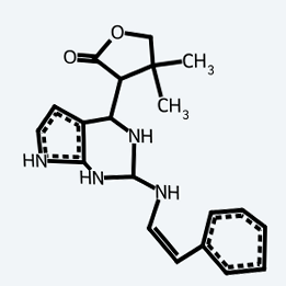 CC1(C)COC(=O)C1C1NC(N/C=C\c2ccccc2)Nc2[nH]ccc21